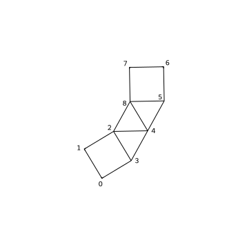 C1CC23C1C21C2CCC231